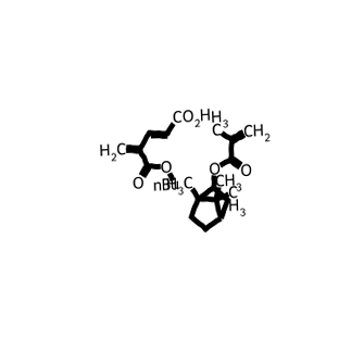 C=C(C)C(=O)OC1CC2CCC1(C)C2(C)C.C=C(C=CC(=O)O)C(=O)OCCCC